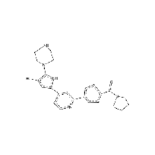 N#Cc1cc(-c2ccnc(-c3ccc(C(=O)N4CCCC4)cc3)c2)[nH]c1N1CCNCC1